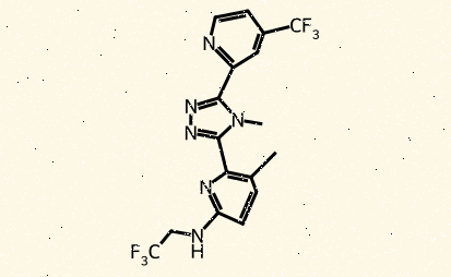 Cc1ccc(NCC(F)(F)F)nc1-c1nnc(-c2cc(C(F)(F)F)ccn2)n1C